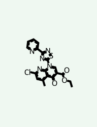 CCOC(=O)c1cn(-c2nc(-c3ccccn3)ns2)c2nc(Cl)cc(C)c2c1=O